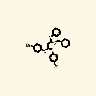 Brc1ccc(SC(CC(=Nc2ccccc2)SCC2CCCCC2)Sc2ccc(Br)cc2)cc1